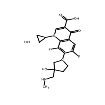 CNCC1(O)CCN(c2c(F)cc3c(=O)c(C(=O)O)cn(C4CC4)c3c2F)C1.Cl